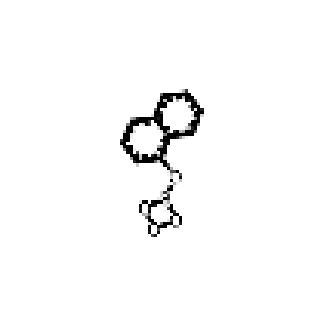 c1ccc2c(OB3OOO3)cccc2c1